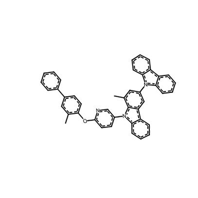 Cc1cc(-c2ccccc2)ccc1Oc1ccc(-n2c3ccccc3c3cc(-n4c5ccccc5c5ccccc54)cc(C)c32)cn1